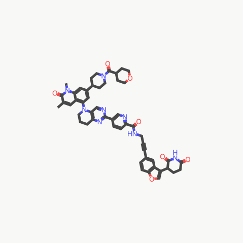 Cc1cc2c(N3CCCc4nc(-c5ccc(C(=O)NCC#Cc6ccc7occ(C8CCC(=O)NC8=O)c7c6)nc5)ncc43)cc(C3CCN(C(=O)C4CCOCC4)CC3)cc2n(C)c1=O